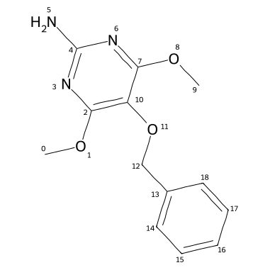 COc1nc(N)nc(OC)c1OCc1ccccc1